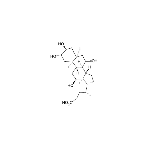 C[C@H](CCC(=O)O)[C@H]1CC[C@H]2[C@@H]3[C@H](O)C[C@@H]4C[C@H](O)[C@@H](O)C[C@]4(C)[C@H]3C[C@H](O)[C@]12C